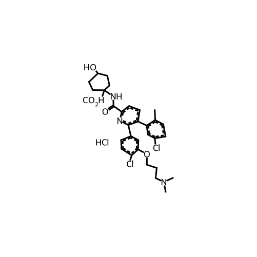 Cc1ccc(Cl)cc1-c1ccc(C(=O)NC2(C(=O)O)CCC(O)CC2)nc1-c1ccc(Cl)c(OCCCN(C)C)c1.Cl